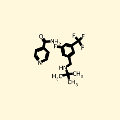 CC(C)(C)NCc1cc(F)cc(C(F)(F)F)c1.NC(=O)c1ccncc1